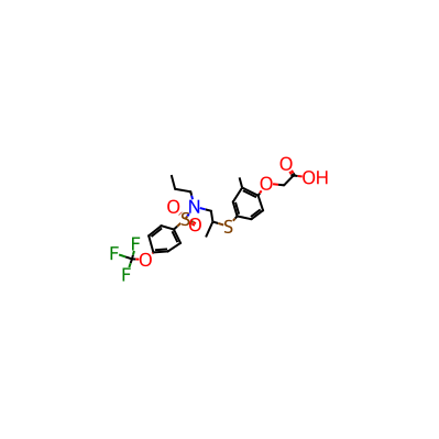 CCCN(CC(C)Sc1ccc(OCC(=O)O)c(C)c1)S(=O)(=O)c1ccc(OC(F)(F)F)cc1